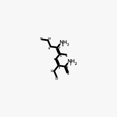 C=C(N)/C(=C\C(C)=C(\N)CCC)CC